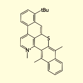 Cc1c2c(c(C)c3ccccc13)-c1c3c(cc4c(C(C)(C)C)cccc4c3cc[n+]1C)S2